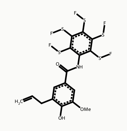 C=CCc1cc(C(=O)Nc2c(SF)c(SF)c(SF)c(SF)c2SF)cc(OC)c1O